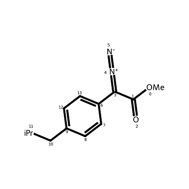 COC(=O)C(=[N+]=[N-])c1ccc(CC(C)C)cc1